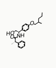 CCCC(C)COc1ccc([C@H](CO)NC(=O)[C@@H](C)c2ccccc2)cc1